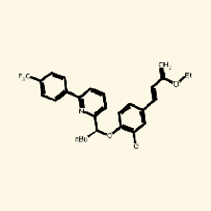 C=C(/C=C/c1ccc(O[C@@H](CCCC)c2cccc(-c3ccc(C(F)(F)F)cc3)n2)c(Cl)c1)OCC